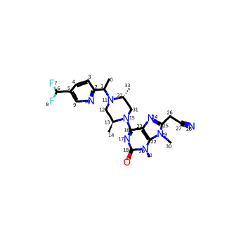 CC(c1ccc(C(F)F)cn1)N1C[C@H](C)N(c2nc(=O)n(C)c3c2nc(CC#N)n3C)C[C@H]1C